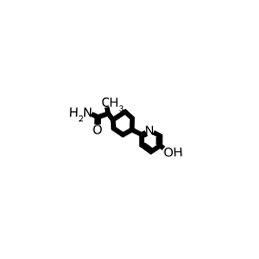 CC(C(N)=O)C1CCC(c2ccc(O)cn2)CC1